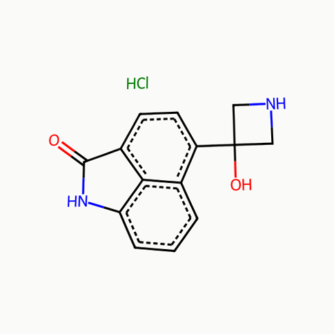 Cl.O=C1Nc2cccc3c(C4(O)CNC4)ccc1c23